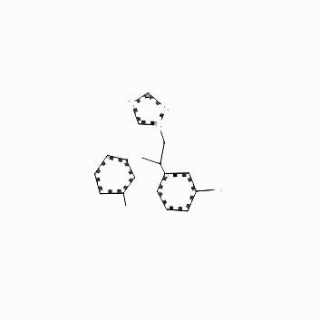 Cl.Clc1ccccc1.SC(Cn1cncn1)c1cccc(Br)c1